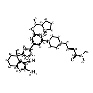 C[C@H](Oc1nc(-c2noc([C@@]3(C)CCCc4sc(N)c(C#N)c43)n2)cc(N2CCN(C/C=C/C(=O)N(C)C)CC2)n1)C1CCCN1C